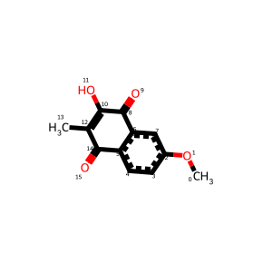 COc1ccc2c(c1)C(=O)C(O)=C(C)C2=O